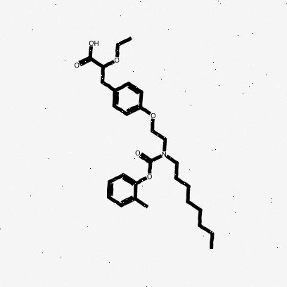 CCCCCCCCN(CCOc1ccc(CC(OCC)C(=O)O)cc1)C(=O)Oc1ccccc1C